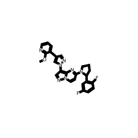 COc1ncccc1-c1cnn(-c2cnn3ccc(N4CCCC4c4cc(F)ccc4F)nc23)c1